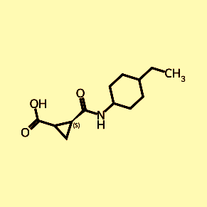 CCC1CCC(NC(=O)[C@H]2CC2C(=O)O)CC1